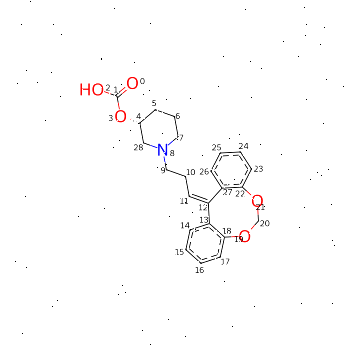 O=C(O)O[C@@H]1CCCN(CCC=C2c3ccccc3OCOc3ccccc32)C1